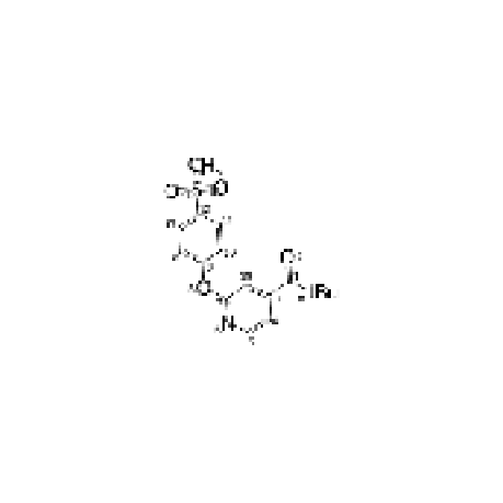 CC(C)(C)C(=O)c1ccnc(Oc2ccc(S(C)(=O)=O)cc2)c1